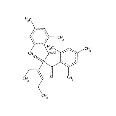 CCC=C(CC)P(=O)(C(=O)c1c(C)cc(C)cc1C)C(=O)c1c(C)cc(C)cc1C